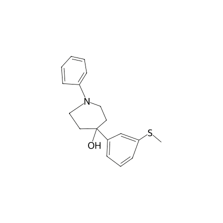 CSc1cccc(C2(O)CCN(c3ccccc3)CC2)c1